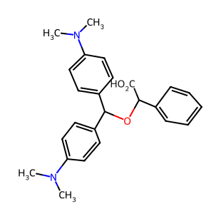 CN(C)c1ccc(C(OC(C(=O)O)c2ccccc2)c2ccc(N(C)C)cc2)cc1